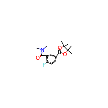 CN(C)C(=O)c1cc(B2OC(C)(C)C(C)(C)O2)ccc1F